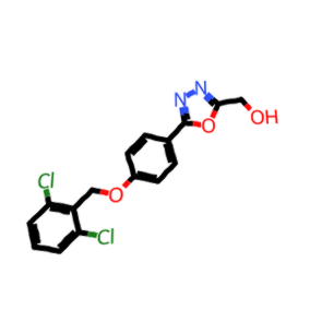 OCc1nnc(-c2ccc(OCc3c(Cl)cccc3Cl)cc2)o1